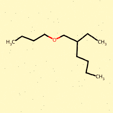 CCC[CH]OCC(CC)CCCC